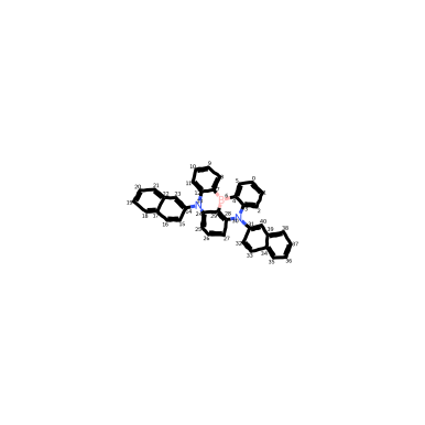 c1ccc2c(c1)B1c3ccccc3N(c3ccc4ccccc4c3)c3cccc(c31)N2c1ccc2ccccc2c1